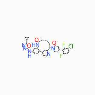 C[C@@H]1CCC[C@H](N2CCC(c3c(F)ccc(Cl)c3F)=CC2=O)c2cc(ccn2)-c2ccc(Nc3nnc(C4CC4)o3)cc2NC1=O